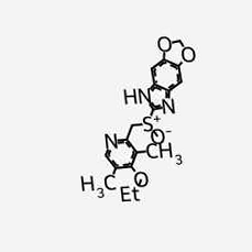 CCOc1c(C)cnc(C[S+]([O-])c2nc3cc4c(cc3[nH]2)OCO4)c1C